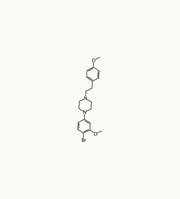 COc1ccc(CCN2CCN(c3ccc(Br)c(OC)c3)CC2)cc1